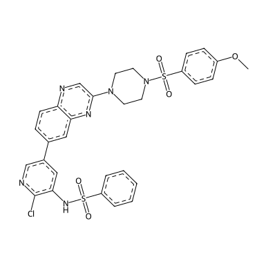 COc1ccc(S(=O)(=O)N2CCN(c3cnc4ccc(-c5cnc(Cl)c(NS(=O)(=O)c6ccccc6)c5)cc4n3)CC2)cc1